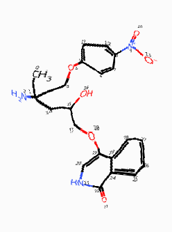 CC(N)(COc1ccc([N+](=O)[O-])cc1)CC(O)COc1c[nH]c(=O)c2ccccc12